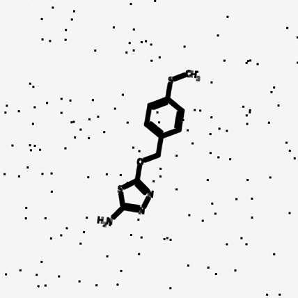 CSc1ccc(COc2nnc(N)s2)cc1